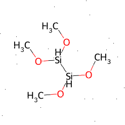 CO[SiH](OC)[SiH](OC)OC